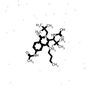 CCCCOc1c(C(NC(=O)O)C(C)(C)C)n(CC(C)(C)C)c(=O)c2ccc(NC(C)=O)cc12